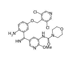 COc1ncc(C(=N)c2cc(OCc3c(Cl)cncc3Cl)ccc2N)cc1NC(=O)N1CCOCC1